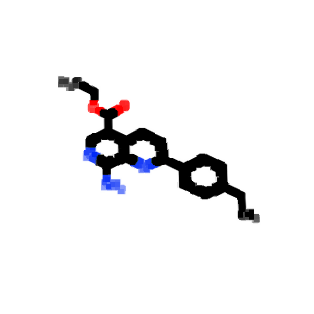 CCOC(=O)c1cnc(N)c2nc(-c3ccc(CC)cc3)ccc12